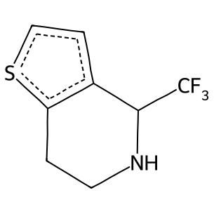 FC(F)(F)C1NCCc2sccc21